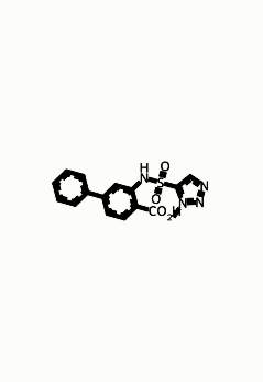 Cn1nncc1S(=O)(=O)Nc1cc(-c2ccccc2)ccc1C(=O)O